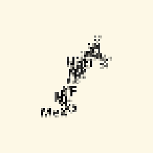 CNC(=O)c1cn(CC(F)CCc2ccc(NC(=O)Cc3cc(C4CC4)cc(C)n3)nn2)nn1